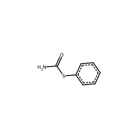 NC(=O)Sc1ccccc1